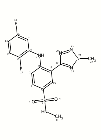 CNS(=O)(=O)c1ccc(Nc2cc(F)ccc2F)c(-c2nnn(C)n2)c1